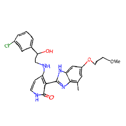 COCCOc1cc(C)c2nc(-c3c(NCC(O)c4cccc(Cl)c4)cc[nH]c3=O)[nH]c2c1